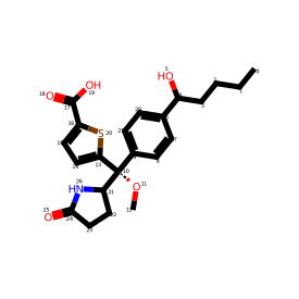 CCCCC(O)c1ccc([C@](OC)(c2ccc(C(=O)O)s2)C2CCC(=O)N2)cc1